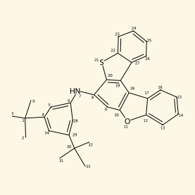 CC(C)(C)c1cc(Nc2cc3oc4ccccc4c3c3c2sc2ccccc23)cc(C(C)(C)C)c1